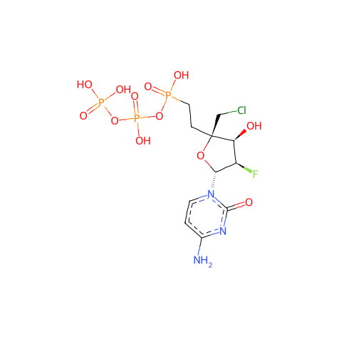 Nc1ccn([C@@H]2O[C@](CCl)(CCP(=O)(O)OP(=O)(O)OP(=O)(O)O)[C@@H](O)[C@H]2F)c(=O)n1